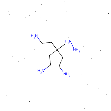 CC(CCN)(CCN)CCN.NN